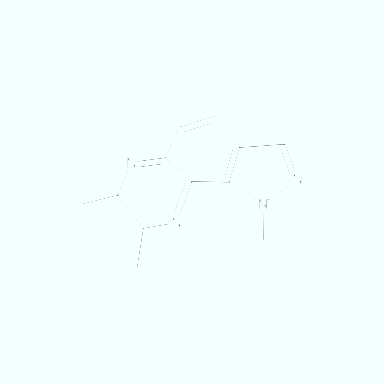 Cc1nc2ccc3cnn(C)c3c2nc1C